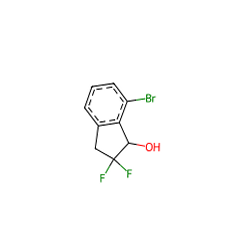 OC1c2c(Br)cccc2CC1(F)F